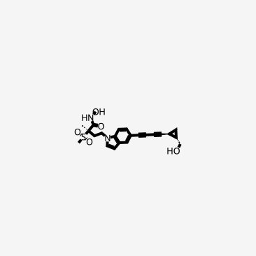 C[C@@](CCn1ccc2cc(C#CC#C[C@H]3C[C@@H]3CO)ccc21)(C(=O)NO)S(C)(=O)=O